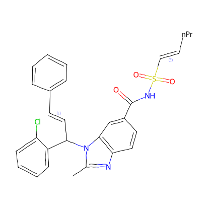 CCC/C=C/S(=O)(=O)NC(=O)c1ccc2nc(C)n(C(/C=C/c3ccccc3)c3ccccc3Cl)c2c1